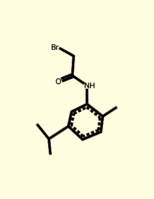 Cc1ccc(C(C)C)cc1NC(=O)CBr